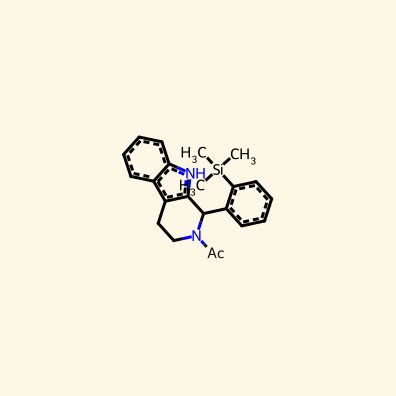 CC(=O)N1CCc2c([nH]c3ccccc23)C1c1ccccc1[Si](C)(C)C